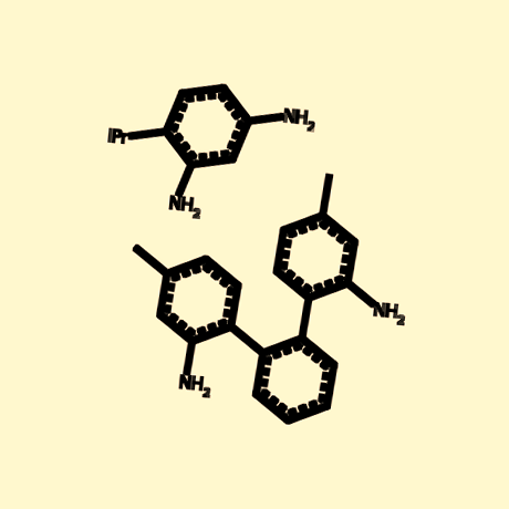 CC(C)c1ccc(N)cc1N.Cc1ccc(-c2ccccc2-c2ccc(C)cc2N)c(N)c1